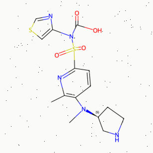 Cc1nc(S(=O)(=O)N(C(=O)O)c2cscn2)ccc1N(C)[C@H]1CCNC1